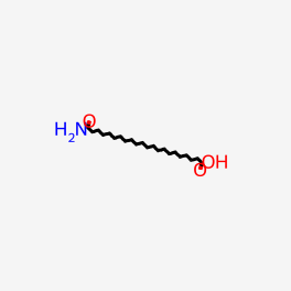 NC(=O)CCCCCCCCCCCCCCCCCCCCC(=O)O